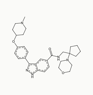 CN1CCC(Oc2ccc(-c3n[nH]c4ccc(C(=O)NCC5(N6CCOCC6)CCCC5)cc34)cc2)CC1